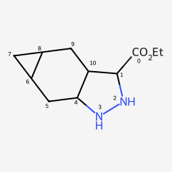 CCOC(=O)C1NNC2CC3CC3CC21